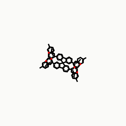 CC1=CC=C(N(c2ccc(C)cc2)c2ccc3c(c2)C2(c4cc(N(c5ccc(C)cc5)c5ccc(C)cc5)ccc4-3)c3cc(N(c4ccc(C)cc4)c4ccc(C)cc4)ccc3-c3ccc(N(c4ccc(C)cc4)c4ccc(C)cc4)cc32)CC1